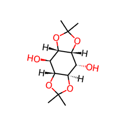 CC1(C)O[C@@H]2[C@@H](O)[C@H]3OC(C)(C)O[C@H]3[C@H](O)[C@H]2O1